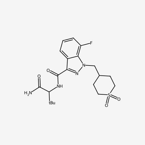 CC(C)(C)C(NC(=O)c1nn(CC2CCS(=O)(=O)CC2)c2c(F)cccc12)C(N)=O